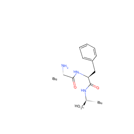 CC[C@H](C)[C@H](N)C(=O)N[C@@H](Cc1ccccc1)C(=O)N[C@H](C(=O)O)[C@@H](C)CC